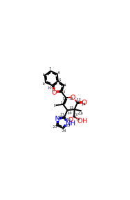 CC1=C(c2cc3ccccc3o2)OC(=O)C(C)(C(=O)O)C1c1ncc[nH]1